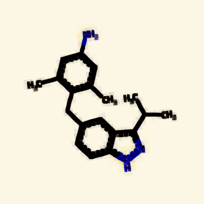 Cc1cc(N)cc(C)c1Cc1ccc2[nH]nc(C(C)C)c2c1